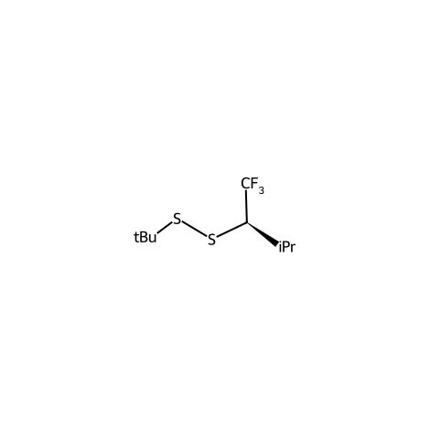 CC(C)[C@@H](SSC(C)(C)C)C(F)(F)F